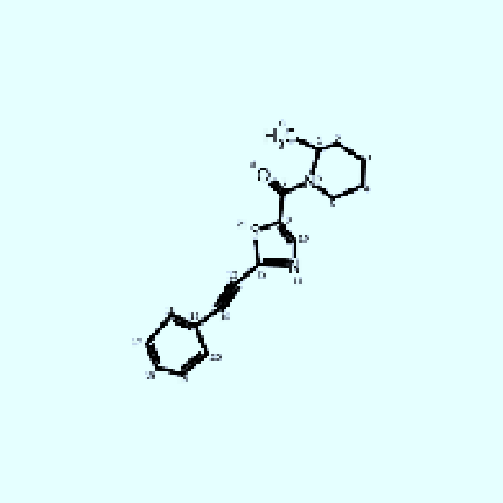 CC1CCCCN1C(=O)c1cnc(C#Cc2ccccc2)s1